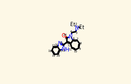 CCN(CC)CCn1c2cccccc-2c(-c2nc3ccccc3[nH]2)c1=O